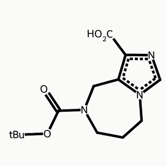 CC(C)(C)OC(=O)N1CCCn2cnc(C(=O)O)c2C1